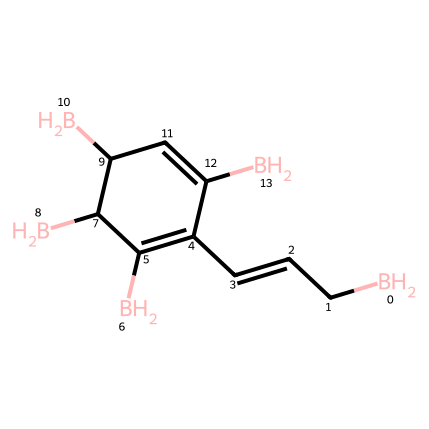 BC/C=C/C1=C(B)C(B)C(B)C=C1B